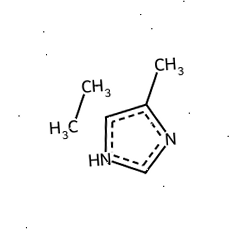 CC.Cc1c[nH]cn1